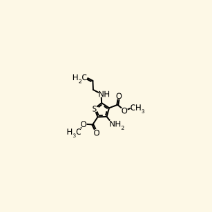 C=CCNc1sc(C(=O)OC)c(N)c1C(=O)OC